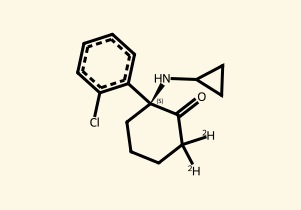 [2H]C1([2H])CCC[C@](NC2CC2)(c2ccccc2Cl)C1=O